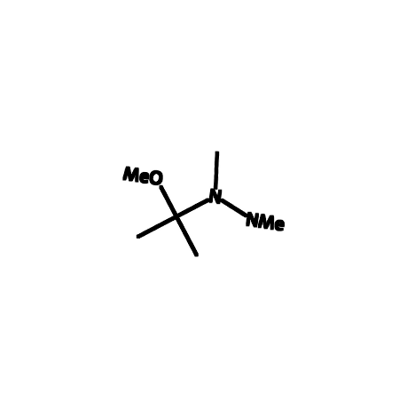 CNN(C)C(C)(C)OC